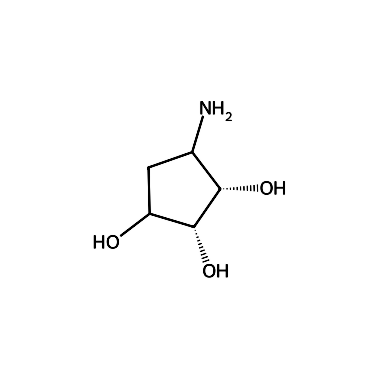 NC1CC(O)[C@@H](O)[C@H]1O